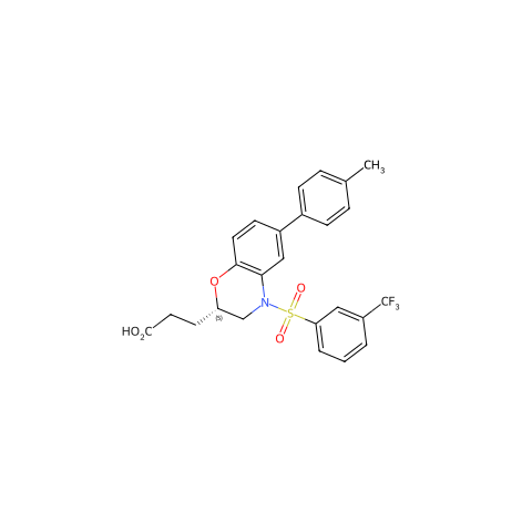 Cc1ccc(-c2ccc3c(c2)N(S(=O)(=O)c2cccc(C(F)(F)F)c2)C[C@H](CCC(=O)O)O3)cc1